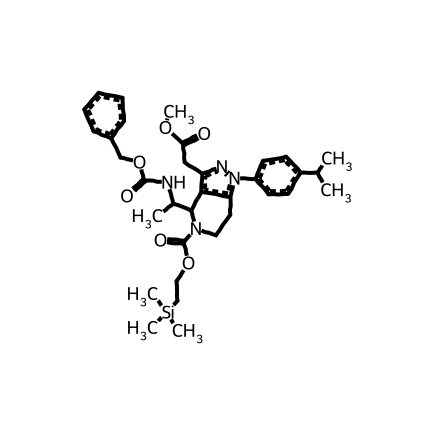 COC(=O)Cc1nn(-c2ccc(C(C)C)cc2)c2c1C(C(C)NC(=O)OCc1ccccc1)N(C(=O)OCC[Si](C)(C)C)CC2